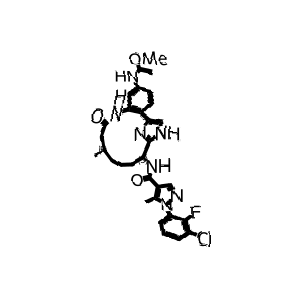 C=C(Nc1ccc2c(c1)NC(=O)C[C@H](C)CCC[C@H](NC(=O)c1cnn(-c3cccc(Cl)c3F)c1C)c1nc-2c[nH]1)OC